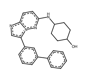 OC1CCC(Nc2ccc3ncc(-c4cccc(-c5ccccc5)c4)n3n2)CC1